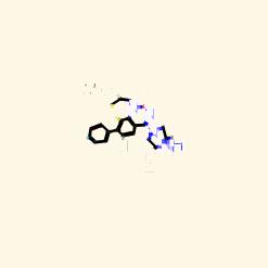 COC1CSc2c(-c3ccc(F)cc3)c(C(F)(F)F)cc3c(N4CC(C)NC(C)C4)nc(=O)n(c23)C1